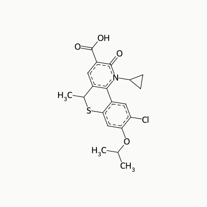 CC(C)Oc1cc2c(cc1Cl)-c1c(cc(C(=O)O)c(=O)n1C1CC1)C(C)S2